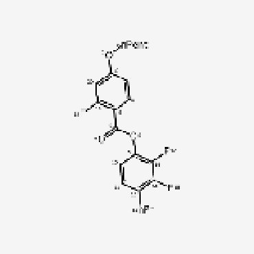 CCCCCOc1ccc(C(=O)Oc2ccc(CCC)c(F)c2F)c(F)c1